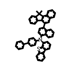 CC1(C)c2ccccc2-c2c(-c3ccc(N(c4ccc(-c5ccccc5)cc4)c4cccc5c4sc4ccccc45)c4ccccc34)cc3ccccc3c21